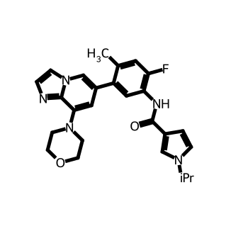 Cc1cc(F)c(NC(=O)c2ccn(C(C)C)c2)cc1-c1cc(N2CCOCC2)c2nccn2c1